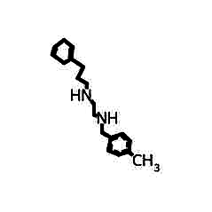 Cc1ccc(CNCCNCCCC2=CCC=CC2)cc1